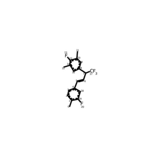 Cc1ccc(/C=C/C(c2cc(C)c(F)c(C)c2)C(F)(F)F)cc1F